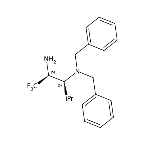 CC(C)[C@@H]([C@H](N)C(F)(F)F)N(Cc1ccccc1)Cc1ccccc1